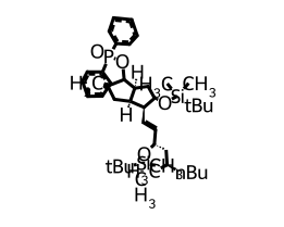 C=C1C[C@@H]2[C@H](/C=C/[C@H](C[C@H](C)CCCC)O[Si](C)(C)C(C)(C)C)[C@H](O[Si](C)(C)C(C)(C)C)C[C@@H]2C1OP(=O)(c1ccccc1)c1ccccc1